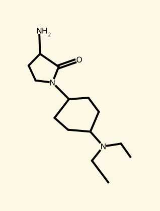 CCN(CC)C1CCC(N2CCC(N)C2=O)CC1